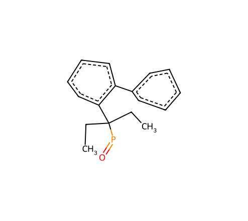 CCC(CC)(P=O)c1ccccc1-c1ccccc1